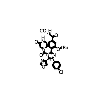 CC(C)(C)Oc1cc(C(=O)CC(=O)O)ccc1C1=N[C@@H](c2ccc(Cl)cc2)[C@@H](c2cocn2)N1C(=O)N1CCNC(=O)C1